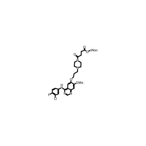 CCCCCCCCCOC(=O)CCC(=O)N1CCN(CCCOc2cc3c(Nc4ccc(F)c(Cl)c4)ncnc3cc2OC)CC1